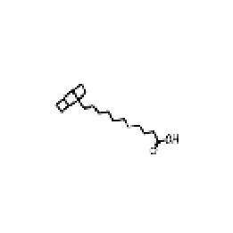 O=C(O)CCCCCCCCC=CC12C3C4C5C3C1C5C42